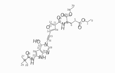 CCOC(=O)CC[C@@H](NC(=O)c1coc(C#CN2C=Nc3[nH]c(NC(=O)C(C)(C)C)cc3C2O)c1)C(=O)OCC